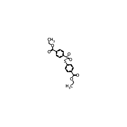 CCOC(=O)c1ccc(SS(=O)(=O)c2ccc(C(=O)OCC)cc2)cc1